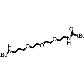 CC(C)(C)NCCCOCCOCCOCCNC(=O)C(C)(C)C